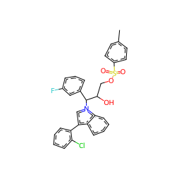 Cc1ccc(S(=O)(=O)OCC(O)C(c2cccc(F)c2)n2cc(-c3ccccc3Cl)c3ccccc32)cc1